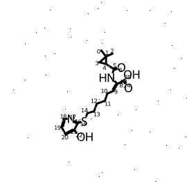 CC1(C)CC1C(=O)N/C(=C\CCCCCSc1ncccc1O)C(=O)O